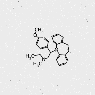 CCN(C)CC(c1ccc(OC)cc1)N1c2ccccc2CCc2ccccc21